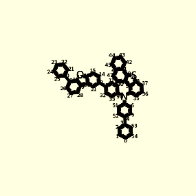 c1ccc(-c2ccc(N(c3ccc(-c4ccc5oc6c(-c7ccccc7)cccc6c5c4)cc3)c3cccc4sc5c6ccccc6ccc5c34)cc2)cc1